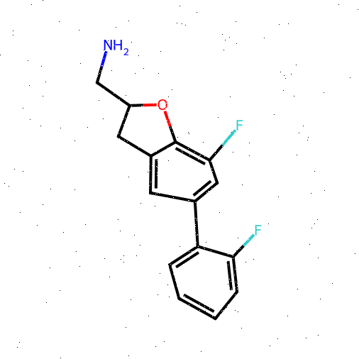 NCC1Cc2cc(-c3ccccc3F)cc(F)c2O1